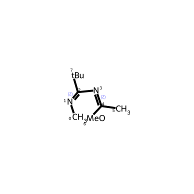 C/N=C(\N=C(\C)OC)C(C)(C)C